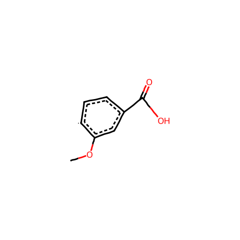 COc1[c]ccc(C(=O)O)c1